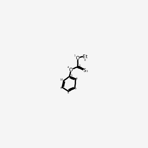 CCOC(=S)Oc1ccccc1